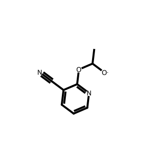 CC([O])Oc1ncccc1C#N